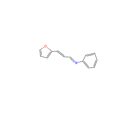 C(=Cc1ccco1)C=Nc1ccccc1